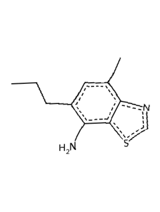 CCCc1cc(C)c2ncsc2c1N